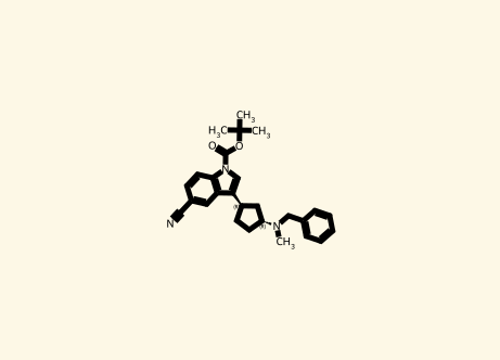 CN(Cc1ccccc1)[C@@H]1CC[C@@H](c2cn(C(=O)OC(C)(C)C)c3ccc(C#N)cc23)C1